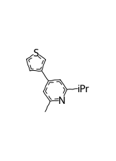 Cc1cc(-c2ccsc2)cc(C(C)C)n1